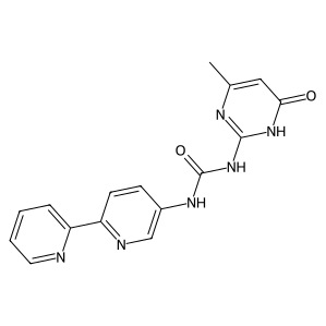 Cc1cc(=O)[nH]c(NC(=O)Nc2ccc(-c3ccccn3)nc2)n1